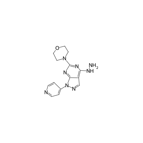 NNc1nc(N2CCOCC2)nc2c1cnn2-c1ccncc1